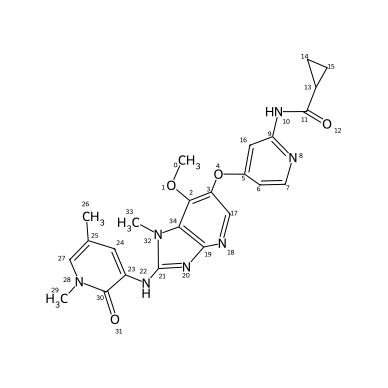 COc1c(Oc2ccnc(NC(=O)C3CC3)c2)cnc2nc(Nc3cc(C)cn(C)c3=O)n(C)c12